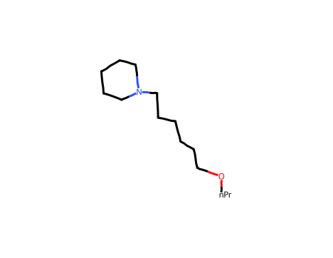 CCCOCCCCCCN1CCCCC1